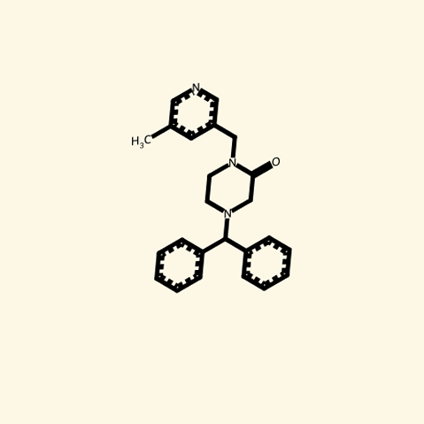 Cc1cncc(CN2CCN(C(c3ccccc3)c3ccccc3)CC2=O)c1